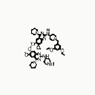 CCOc1cc(CN2CCC(Nc3nc(N4CCCCC4)c4cc(OC)c(OC)cc4n3)CC2)cc(OCC)c1.COc1cc2nc(NC3CCNCC3)nc(N3CCCCC3)c2cc1OC